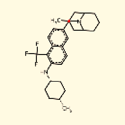 CC1CC2CCCC(C1)N2Cc1ccc2c(C(F)(F)F)c(N[C@H]3CC[C@@H](C)CC3)ccc2c1